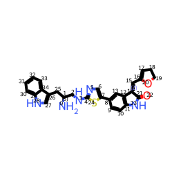 N[C@H](CNc1ncc(-c2ccc3c(c2)/C(=C/C2=CCCO2)C(=O)N3)s1)Cc1c[nH]c2ccccc12